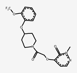 Cn1nccc(OCC(=O)N2CCC(Oc3ccccc3OC(F)(F)F)CC2)c1=O